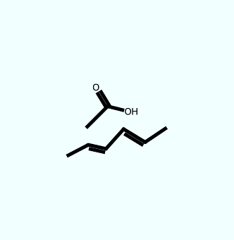 CC(=O)O.CC=C/C=C/C